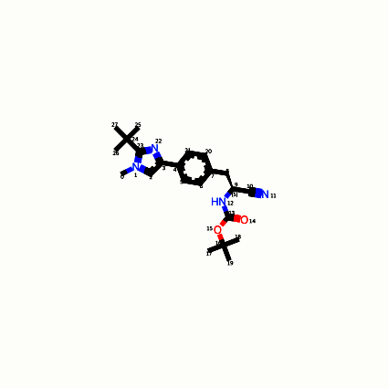 Cn1cc(-c2ccc(C[C@@H](C#N)NC(=O)OC(C)(C)C)cc2)nc1C(C)(C)C